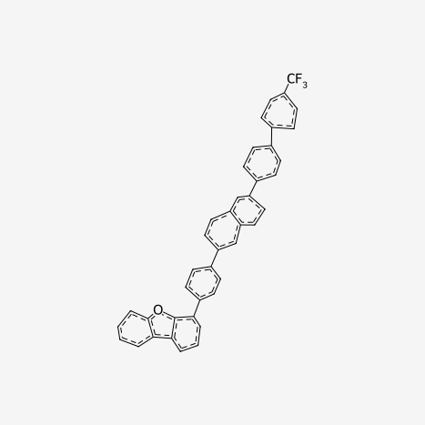 FC(F)(F)c1ccc(-c2ccc(-c3ccc4cc(-c5ccc(-c6cccc7c6oc6ccccc67)cc5)ccc4c3)cc2)cc1